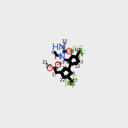 CCN(Cc1cc(C(F)(F)F)ccc1-c1cc(CC(=O)OC)cc(C(F)(F)F)c1)C(=O)NC